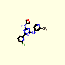 FC(F)(F)c1cc(Nc2nc(NC3COC3)nc(-c3cccc(Cl)n3)n2)ccn1